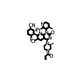 C=CC(=O)N1CCN(c2nc(=O)n(-c3c(C)ccnc3C(C)C)c3nc(-c4cc(C#N)ccc4F)c(Cl)cc23)[C@@H](C)C1